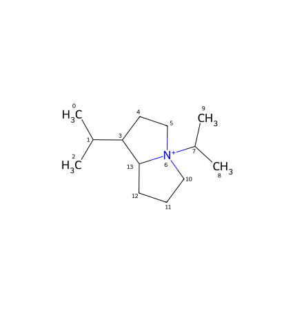 CC(C)C1CC[N+]2(C(C)C)CCCC12